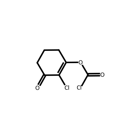 O=C(Cl)OC1=C(Cl)C(=O)CCC1